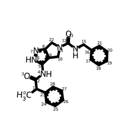 CC(C(=O)Nc1[nH]nc2c1CN(C(=O)NCc1ccccc1)C2)c1ccccc1